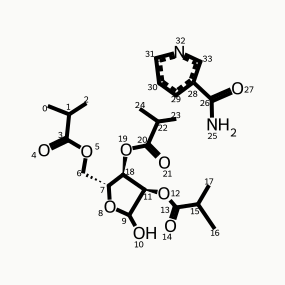 CC(C)C(=O)OC[C@H]1OC(O)[C@H](OC(=O)C(C)C)[C@@H]1OC(=O)C(C)C.NC(=O)c1cccnc1